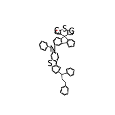 c1ccc(CCC(c2ccccc2)c2ccc3sc4cc(N(c5ccccc5)c5ccc6c(c5)-c5ccccc5C65c6ccccc6Sc6ccccc65)ccc4c3c2)cc1